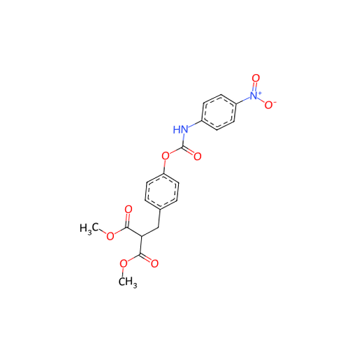 COC(=O)C(Cc1ccc(OC(=O)Nc2ccc([N+](=O)[O-])cc2)cc1)C(=O)OC